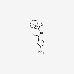 NC1CCN(C(=O)NC2C3CC4CC(C3)CC2C4)C1